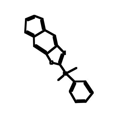 C[Si](C)(c1ccccc1)c1nc2cc3ccccc3cc2o1